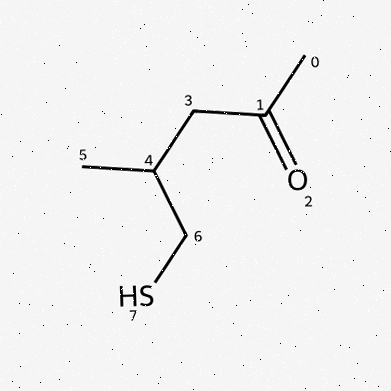 CC(=O)CC(C)CS